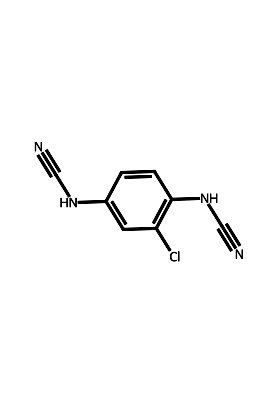 N#CNc1ccc(NC#N)c(Cl)c1